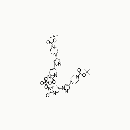 CC(C)(C)OC(=O)N1CCN(c2cnn(C3=CC4CN(C3)C(=O)N4OS(=O)(=O)ON3C(=O)N4CC(n5cc(N6CCN(C(=O)OC(C)(C)C)CC6)cn5)=CC3C4)c2)CC1